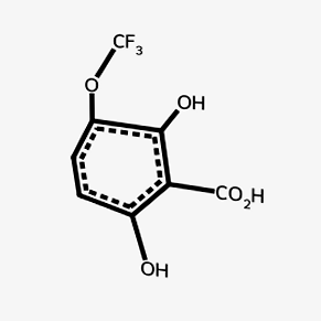 O=C(O)c1c(O)ccc(OC(F)(F)F)c1O